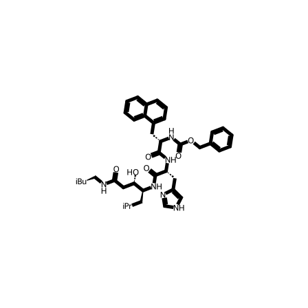 CC[C@H](C)CNC(=O)C[C@H](O)[C@H](CC(C)C)NC(=O)[C@@H](Cc1c[nH]cn1)NC(=O)[C@H](Cc1cccc2ccccc12)NC(=O)OCc1ccccc1